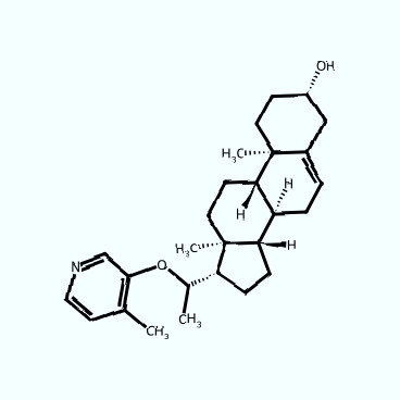 Cc1ccncc1OC(C)[C@H]1CC[C@H]2[C@@H]3CC=C4C[C@@H](O)CC[C@]4(C)[C@H]3CC[C@]12C